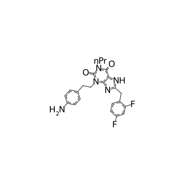 CCCn1c(=O)c2[nH]c(Cc3ccc(F)cc3F)nc2n(CCc2ccc(N)cc2)c1=O